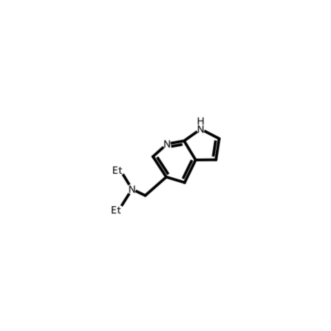 CCN(CC)Cc1cnc2[nH]ccc2c1